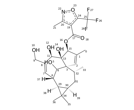 CC1=C[C@]23C(O)[C@@H](C=C(CO)[C@@H](O)[C@]2(O)[C@H]1OC(=O)c1c(C)noc1C(F)(F)F)[C@H]1[C@@H](C[C@H]3C)C1(C)C